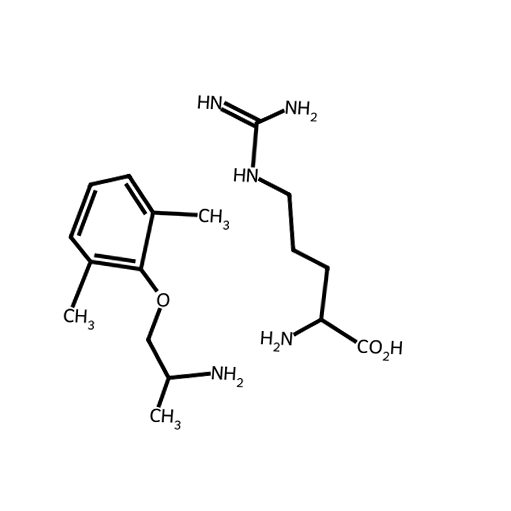 Cc1cccc(C)c1OCC(C)N.N=C(N)NCCCC(N)C(=O)O